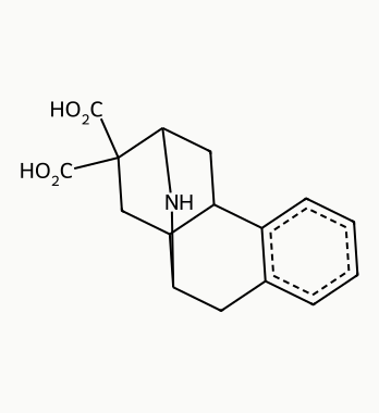 O=C(O)C1(C(=O)O)CC2C3Cc4ccccc4C2CC1N3